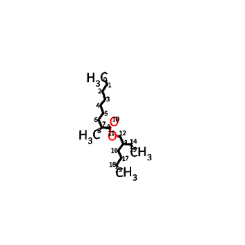 CCCCCCCC(C)C(=O)OCC(CC)CCCC